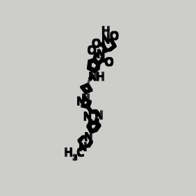 CN1CCN(c2ccc3ncc(-c4cnn([C@H]5C[C@@H](CNc6ccc7c(c6)C(=O)N(C6CCC(=O)NC6=O)C7=O)C5)c4)nc3c2)CC1